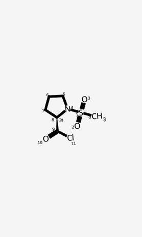 CS(=O)(=O)N1CCC[C@@H]1C(=O)Cl